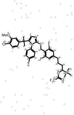 COc1cc(C(C)(C)c2cnc(SCc3c(F)cc(CCCC(OC(=O)C(F)(F)F)[N+](C)(C)C)cc3F)n2-c2ccc(F)cc2)ccc1Cl